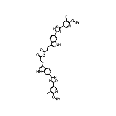 Cc1cc(-c2nc(-c3ccc4c(CCC(=O)OC(=O)CCc5c[nH]c6cc(-c7noc(-c8cnc(OC(C)C)c(F)c8)n7)ccc56)c[nH]c4c3)no2)cnc1OC(C)C